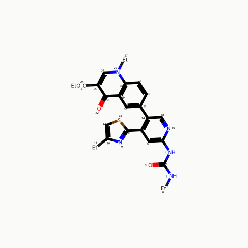 CCNC(=O)Nc1cc(-c2nc(CC)cs2)c(-c2ccc3c(c2)c(=O)c(C(=O)OCC)cn3CC)cn1